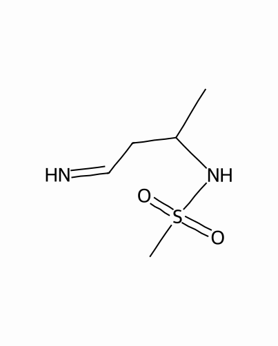 CC(CC=N)NS(C)(=O)=O